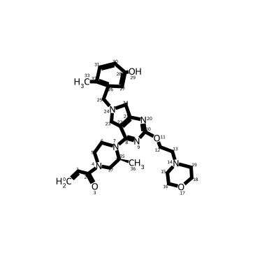 C=CC(=O)N1CCN(c2nc(OCCN3CCOCC3)nc3c2CN(Cc2cc(O)ccc2C)C3)[C@@H](C)C1